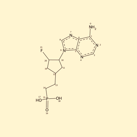 Nc1ncnc2c1ncn2C1CC(CCP(=O)(O)O)CC1F